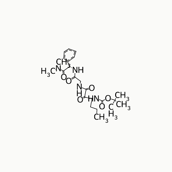 CCCC(NC(=O)OC(C)(C)C)C(=O)C(=O)NCC(=O)N[C@H](C(=O)N(C)C)c1ccccc1